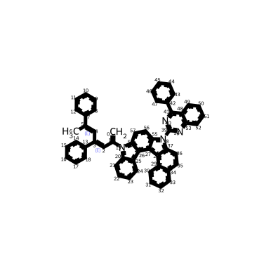 C=C(/C=C(\C=C(/C)c1ccccc1)c1ccccc1)n1c2ccccc2c2c3c4c5ccccc5ccc4n(-c4nc(-c5ccccc5)c5ccccc5n4)c3ccc21